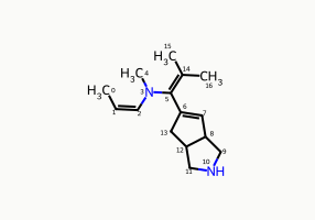 C/C=C\N(C)C(C1=CC2CNCC2C1)=C(C)C